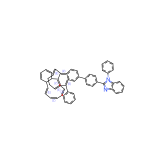 C1=CC2\C=C\C=C/C=C\C=C(C3=c4/ccc(-c5ccc(-c6nc7ccccc7n6-c6ccccc6)cc5)c/c4=C(c4ccccc4)/C=C/CC\C=C\3)\C2C=C1